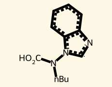 CCCCN(C(=O)O)n1[c]nc2ccccc21